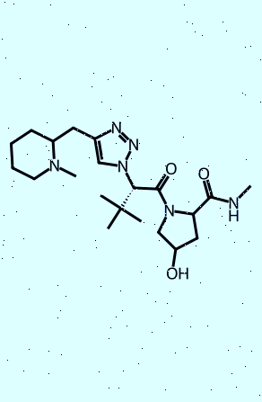 CNC(=O)C1CC(O)CN1C(=O)[C@@H](n1cc(CC2CCCCN2C)nn1)C(C)(C)C